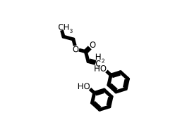 C=CC(=O)OCCC.Oc1ccccc1.Oc1ccccc1